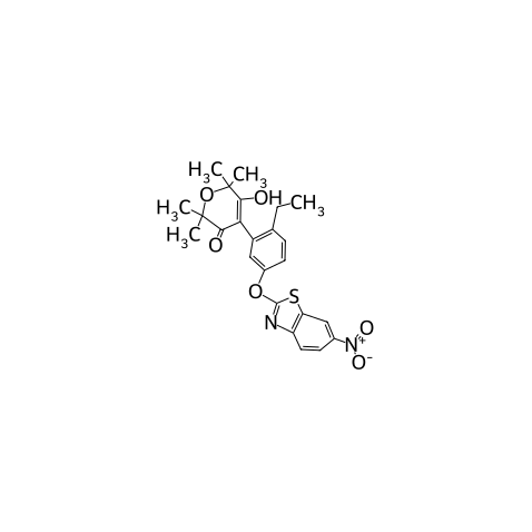 CCc1ccc(Oc2nc3ccc([N+](=O)[O-])cc3s2)cc1C1=C(O)C(C)(C)OC(C)(C)C1=O